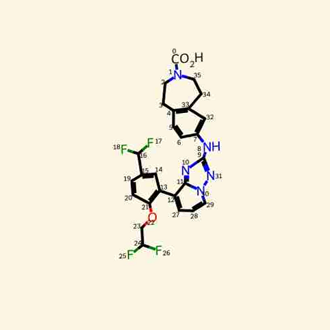 O=C(O)N1CCc2ccc(Nc3nc4c(-c5cc(C(F)F)ccc5OCC(F)F)cccn4n3)cc2CC1